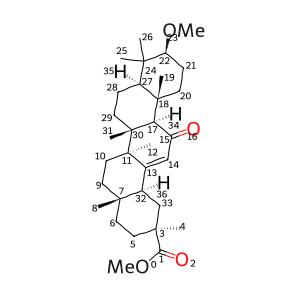 COC(=O)[C@@]1(C)CC[C@]2(C)CC[C@]3(C)C(=CC(=O)[C@@H]4[C@@]5(C)CC[C@H](OC)C(C)(C)[C@@H]5CC[C@]43C)[C@H]2C1